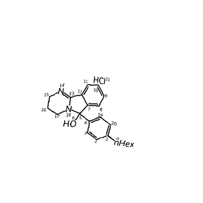 CCCCCCc1ccc(C2(O)c3ccccc3C3=NCCCN32)cc1.Cl